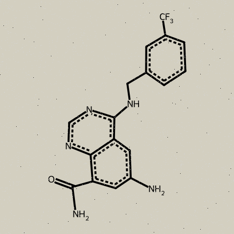 NC(=O)c1cc(N)cc2c(NCc3cccc(C(F)(F)F)c3)ncnc12